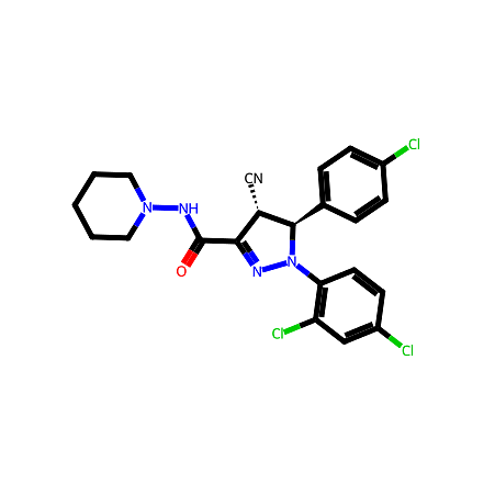 N#C[C@H]1C(C(=O)NN2CCCCC2)=NN(c2ccc(Cl)cc2Cl)[C@@H]1c1ccc(Cl)cc1